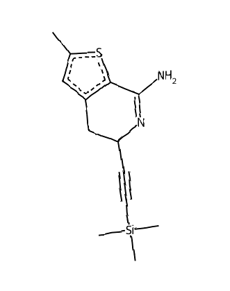 Cc1cc2c(s1)C(N)=NC(C#C[Si](C)(C)C)C2